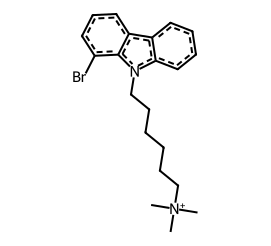 C[N+](C)(C)CCCCCCn1c2ccccc2c2cccc(Br)c21